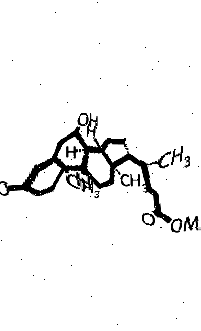 COC(=O)CC[C@@H](C)[C@H]1CC[C@H]2[C@@H]3C(O)CC4=CC(O)CC[C@]4(C)[C@H]3CC[C@]12C